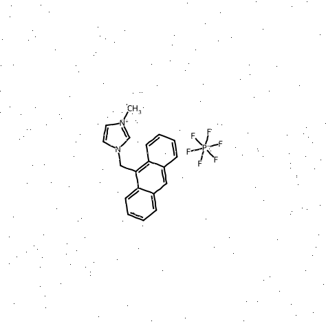 C[n+]1ccn(Cc2c3ccccc3cc3ccccc23)c1.F[P-](F)(F)(F)(F)F